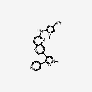 CC(C)c1cc(Nc2ccc3ncc(-c4cn(C)nc4-c4ccncc4)cc3n2)n(C)c1